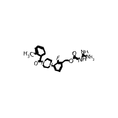 Cc1ccccc1C(=O)N1CCN(c2cccc(COC(=O)NC(=N)N)c2F)CC1